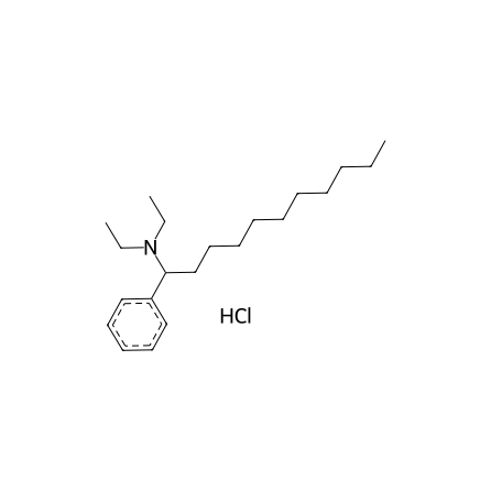 CCCCCCCCCCC(c1ccccc1)N(CC)CC.Cl